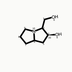 OCC1[C@@H](O)CC2CCCN21